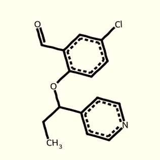 CCC(Oc1ccc(Cl)cc1C=O)c1ccncc1